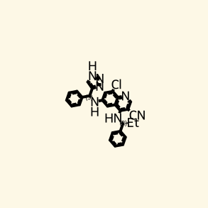 CC[C@@H](Nc1c(C#N)cnc2c(Cl)cc(N[C@@H](c3ccccc3)c3c[nH]nn3)cc12)c1ccccc1